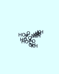 O=P(O)(O)OP(=O)(O)O.[KH].[KH].[KH].[KH].[NaH]